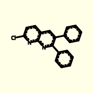 Clc1ccc2cc(-c3ccccc3)c(-c3ccccc3)nc2n1